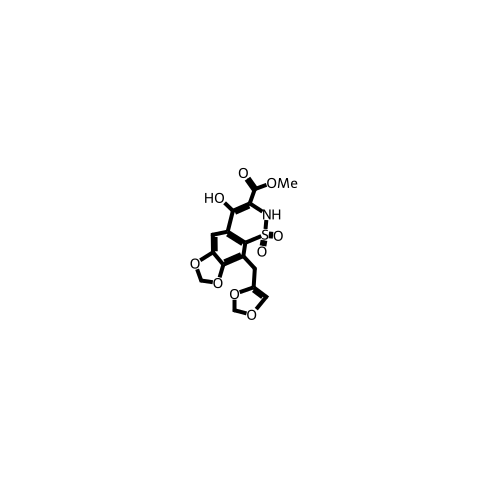 COC(=O)C1=C(O)c2cc3c(c(CC4=COCO4)c2S(=O)(=O)N1)OCO3